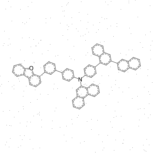 c1cc(-c2ccc(N(c3ccc(-c4cc(-c5ccc6ccccc6c5)cc5ccccc45)cc3)c3cc4ccccc4c4ccccc34)cc2)cc(-c2cccc3c2oc2ccccc23)c1